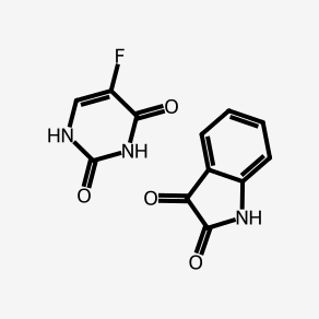 O=C1Nc2ccccc2C1=O.O=c1[nH]cc(F)c(=O)[nH]1